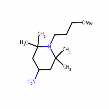 COCCCN1C(C)(C)CC(N)CC1(C)C